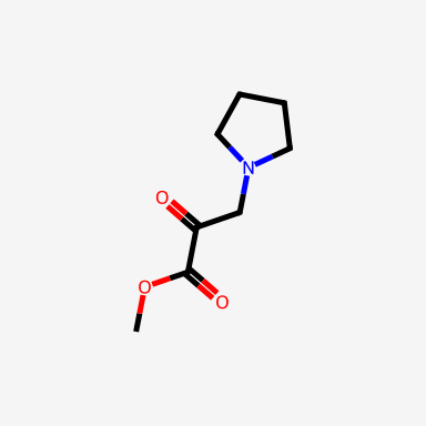 COC(=O)C(=O)CN1CCCC1